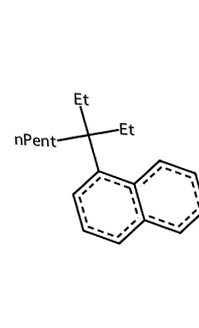 CCCCCC(CC)(CC)c1cccc2ccccc12